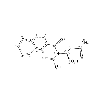 CC(C)(C)C(=O)N(C(=O)c1ccc2ccccc2n1)[C@@H](CC(N)=O)C(=O)O